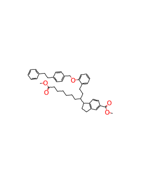 COC(=O)CCCCCCC(CCc1ccccc1OCc1ccc(CCc2ccccc2)cc1)C1CCc2cc(C(=O)OC)ccc21